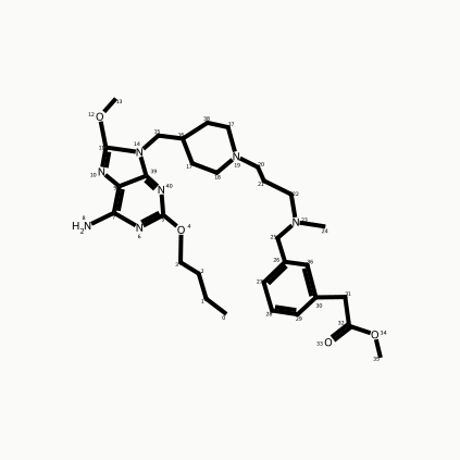 CCCCOc1nc(N)c2nc(OC)n(CC3CCN(CCCN(C)Cc4cccc(CC(=O)OC)c4)CC3)c2n1